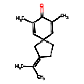 CC1=CC2(C=C(C)C1=O)CCC(=C(C)C)C2